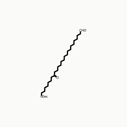 CCCCCCCCCCCCCCCCCC(=O)CCCCCCCCCCCCCCCCC=O